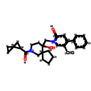 O=Cc1cn(CC2(O)CCN(C(=O)C3CC34CC4)CC23CCCC3)c(=O)cc1-c1ccccc1